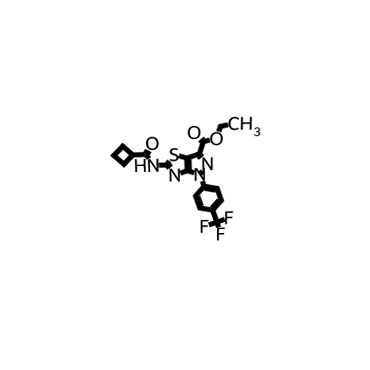 CCOC(=O)c1nn(-c2ccc(C(F)(F)F)cc2)c2nc(NC(=O)C3CCC3)sc12